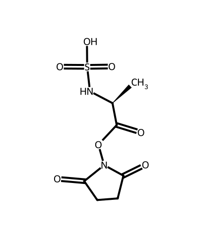 C[C@H](NS(=O)(=O)O)C(=O)ON1C(=O)CCC1=O